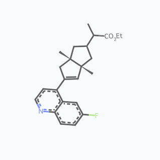 CCOC(=O)C(C)C1C[C@@]2(C)CC(c3ccnc4ccc(F)cc34)=C[C@@]2(C)C1